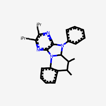 CC(C)c1nc2c(nc1C(C)C)N1c3ccccc3C(C)C(C)C1N2c1ccccc1